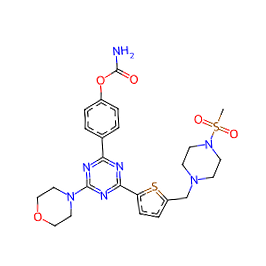 CS(=O)(=O)N1CCN(Cc2ccc(-c3nc(-c4ccc(OC(N)=O)cc4)nc(N4CCOCC4)n3)s2)CC1